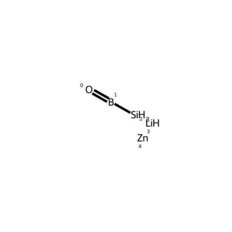 O=B[SiH3].[LiH].[Zn]